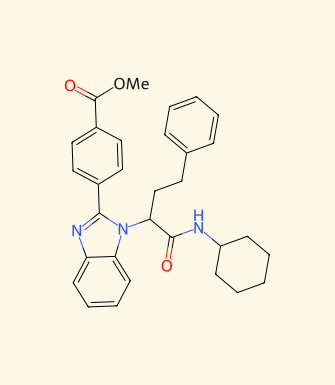 COC(=O)c1ccc(-c2nc3ccccc3n2C(CCc2ccccc2)C(=O)NC2CCCCC2)cc1